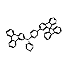 C1=CC(N(C2=CCC(c3ccc4c(c3)C3(c5ccccc5-c5ccccc53)c3ccccc3-4)C=C2)c2ccc3c4ccccc4c4ccccc4c3c2)=CCC1